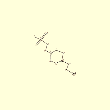 CS(=O)(=O)CCN1CCN(CCO)CC1